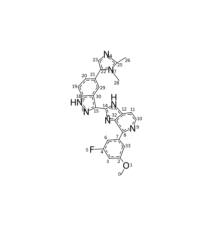 COc1cc(F)cc(-c2nccc3[nH]c(-c4n[nH]c5ccc(-c6cnc(C)n6C)cc45)nc23)c1